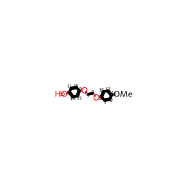 COc1ccc(OCCOc2ccc(O)cc2)cc1